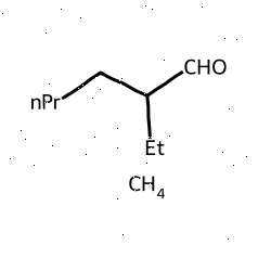 C.CCCCC(C=O)CC